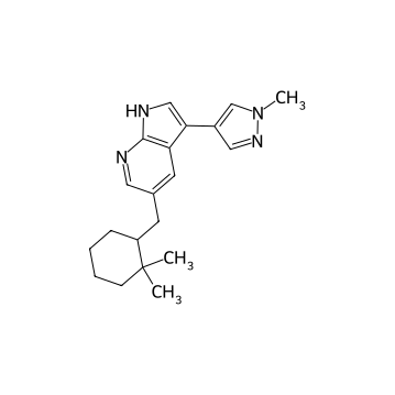 Cn1cc(-c2c[nH]c3ncc(CC4CCCCC4(C)C)cc23)cn1